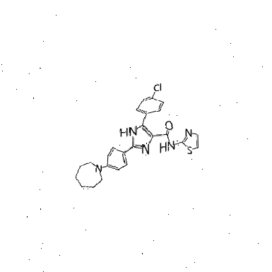 O=C(Nc1nccs1)c1nc(-c2ccc(N3CCCCCC3)cc2)[nH]c1-c1ccc(Cl)cc1